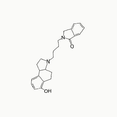 O=C1c2ccccc2CN1CCCCN1CCC2c3cccc(O)c3CCC21